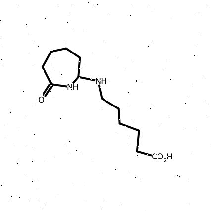 O=C(O)CCCCCNC1CCCCC(=O)N1